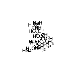 C=C.CC(=O)O.CC(=O)O.CC(=O)O.CC(=O)O.N.N.O.O.[NaH].[NaH]